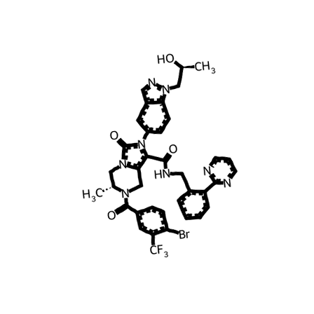 C[C@H](O)Cn1ncc2cc(-n3c(C(=O)NCc4ccccc4-c4ncccn4)c4n(c3=O)C[C@@H](C)N(C(=O)c3ccc(Br)c(C(F)(F)F)c3)C4)ccc21